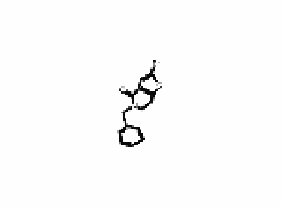 O=C1c2cc(Br)sc2CCN1Cc1ccccc1